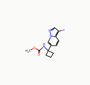 COC(=O)NC1(c2ccc3c(I)cnn3c2)CCC1